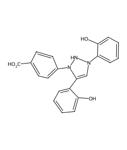 O=C(O)c1ccc(N2NN(c3ccccc3O)C=C2c2ccccc2O)cc1